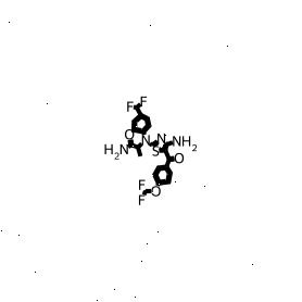 CC(C(N)=O)N(c1ccc(C(F)F)cc1)c1nc(N)c(C(=O)c2ccc(OC(F)F)cc2)s1